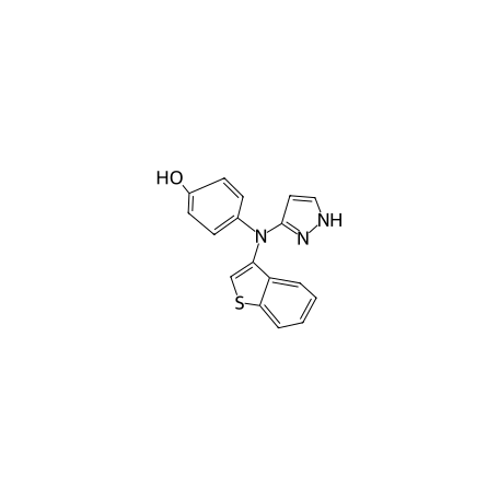 Oc1ccc(N(c2cc[nH]n2)c2csc3ccccc23)cc1